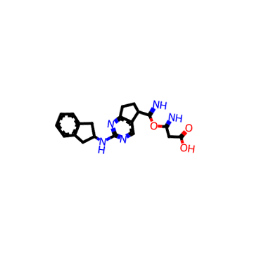 N=C(CC(=O)O)OC(=N)C1CCc2nc(NC3Cc4ccccc4C3)ncc21